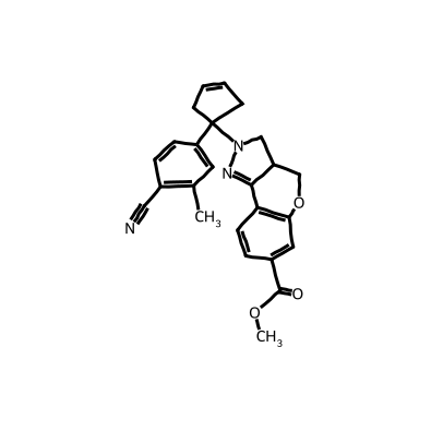 COC(=O)c1ccc2c(c1)OCC1CN(C3(c4ccc(C#N)c(C)c4)CC=CC3)N=C21